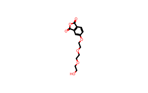 O=C1OC(=O)c2cc(OCCOCCOCCO)ccc21